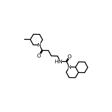 CC1CCCN(C(=O)CCCNC(=O)N2CCCC3CCCCC32)C1